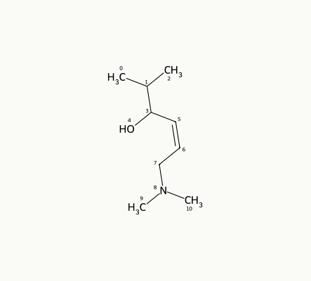 CC(C)C(O)/C=C\CN(C)C